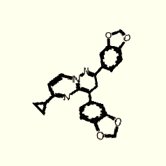 C1=CN2N=C(c3ccc4c(c3)OCO4)CC(c3ccc4c(c3)OCO4)=C2N=C1C1CC1